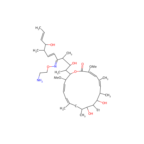 CC=CC(O)C(C)C=CC(=NOCCN)C(C)C(O)C(C)C1OC(=O)C(OC)=CC(C)=CC(C)C(O)C(CC)C(O)C(C)CC(C)=CC=CC1OC